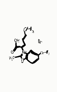 CCCCC(C(=O)O)[n+]1c(C)oc2ccc(C)cc21.[Br-]